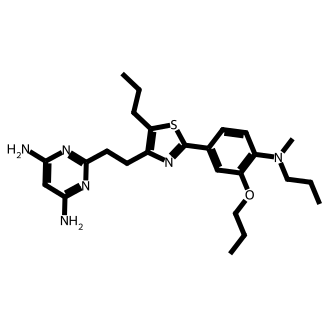 CCCOc1cc(-c2nc(CCc3nc(N)cc(N)n3)c(CCC)s2)ccc1N(C)CCC